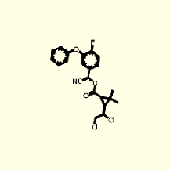 CC1(C)C(C(=O)OC(C#N)c2ccc(F)c(Oc3ccccc3)c2)C1C(Cl)CCl